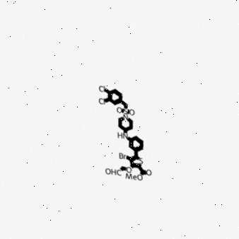 COC(=O)c1sc(-c2cccc(NC3CCN(S(=O)(=O)Cc4ccc(Cl)c(Cl)c4)CC3)c2)c(Br)c1OCC=O